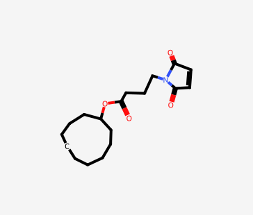 O=C(CCCN1C(=O)C=CC1=O)OC1CCCCCCCCC1